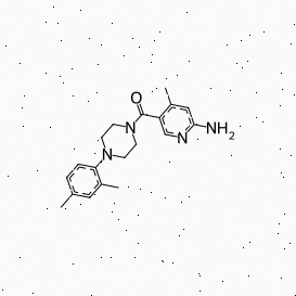 Cc1ccc(N2CCN(C(=O)c3cnc(N)cc3C)CC2)c(C)c1